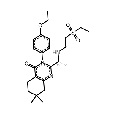 CCOc1ccc(-n2c([C@@H](C)NCCS(=O)(=O)CC)nc3c(c2=O)CCC(C)(C)C3)cc1